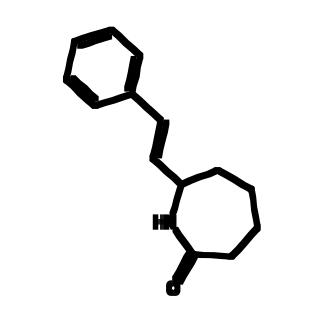 O=C1CCCCC(C=Cc2ccccc2)N1